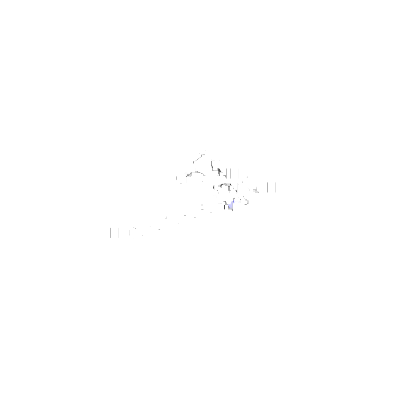 CCCCCCCCCCC/N=C1/SC(C)CN1C(=S)Nc1cccc(Cl)c1